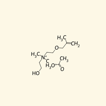 C=C(C)COCC[N+](C)(C)CCO.CC(=O)[O-]